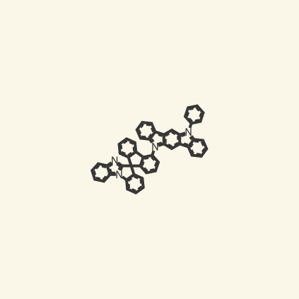 c1ccc(-n2c3ccccc3c3cc4c(cc32)c2ccccc2n4-c2cccc3c2-c2ccccc2C32c3ccccc3-n3c2nc2ccccc23)cc1